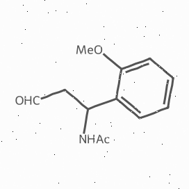 COc1ccccc1C(CC=O)NC(C)=O